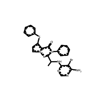 CC(Nc1ncnc(N)c1Br)c1nn2ccc(Sc3ccccc3)c2c(=O)n1-c1ccccc1